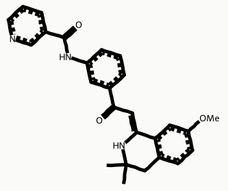 COc1ccc2c(c1)C(=CC(=O)c1cccc(NC(=O)c3cccnc3)c1)NC(C)(C)C2